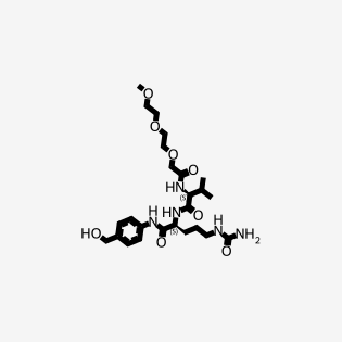 COCCOCCOCC(=O)N[C@H](C(=O)N[C@@H](CCCNC(N)=O)C(=O)Nc1ccc(CO)cc1)C(C)C